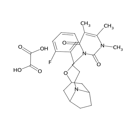 Cc1c(C)n(C)c(=O)n(CCCN2C3CCC2CC(OCc2ccccc2F)C3)c1=O.O=C(O)C(=O)O